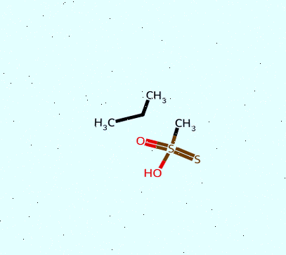 CCC.CS(=O)(O)=S